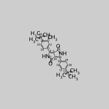 Cc1cc(C2=C3C(=O)NC(c4ccc(C(C)(C)C)cc4)=C3C(=O)N2)ccc1C(C)(C)C